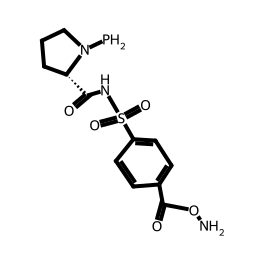 NOC(=O)c1ccc(S(=O)(=O)NC(=O)[C@@H]2CCCN2P)cc1